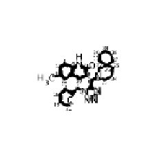 Cc1ccc2[nH]c(=O)c([C@@H](c3nnnn3Cc3ccccc3)N3CCCC4(CCCCC4)C3)cc2c1